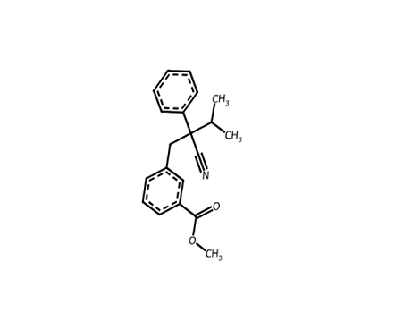 COC(=O)c1cccc(CC(C#N)(c2ccccc2)C(C)C)c1